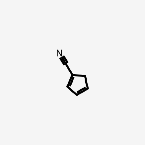 N#CC1=CC=CC1